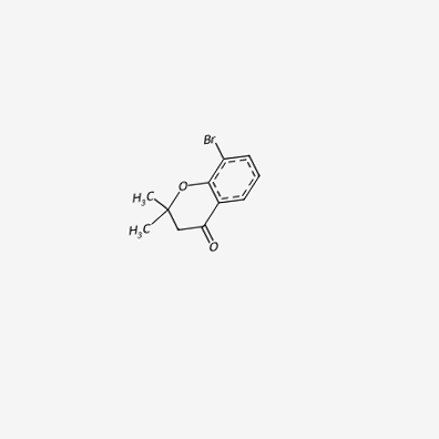 CC1(C)CC(=O)c2cccc(Br)c2O1